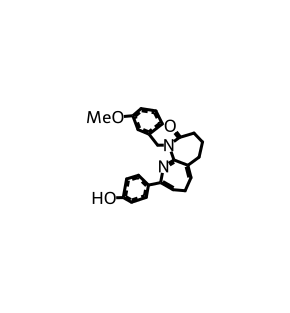 COc1cccc(CN2C(=O)CCCC3=CCC=C(c4ccc(O)cc4)N=C32)c1